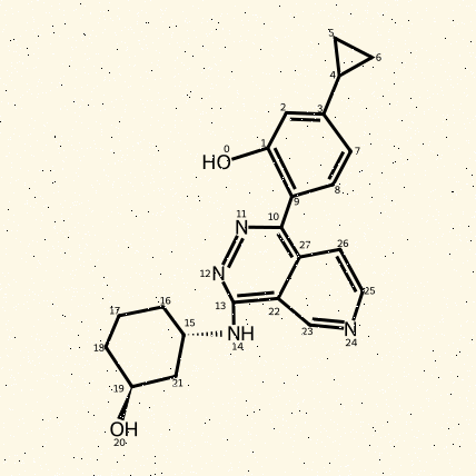 Oc1cc(C2CC2)ccc1-c1nnc(N[C@H]2CCC[C@H](O)C2)c2cnccc12